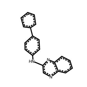 c1ccc(-c2ccc(Nc3cnc4ccccc4n3)cc2)cc1